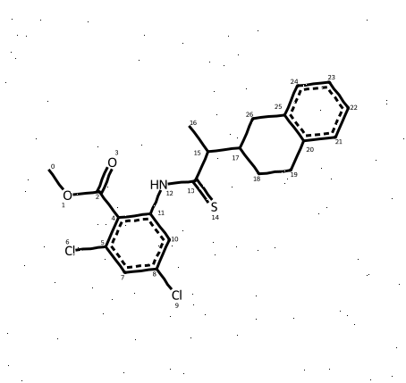 COC(=O)c1c(Cl)cc(Cl)cc1NC(=S)C(C)C1CCc2ccccc2C1